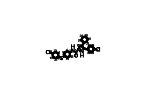 O=C(Nc1ccc(Sc2ccc(Cl)cc2)cc1)N1CC(c2ccccc2)=C(c2ccc(Cl)cc2)N1